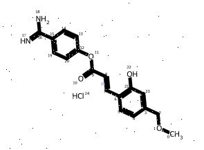 COCc1ccc(/C=C/C(=O)Oc2ccc(C(=N)N)cc2)c(O)c1.Cl